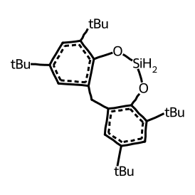 CC(C)(C)c1cc2c(c(C(C)(C)C)c1)O[SiH2]Oc1c(cc(C(C)(C)C)cc1C(C)(C)C)C2